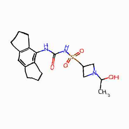 CC(O)N1CC(S(=O)(=O)NC(=O)Nc2c3c(cc4c2CCC4)CCC3)C1